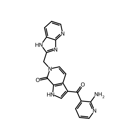 Nc1ncccc1C(=O)c1c[nH]c2c(=O)n(Cc3nc4ncccc4[nH]3)ccc12